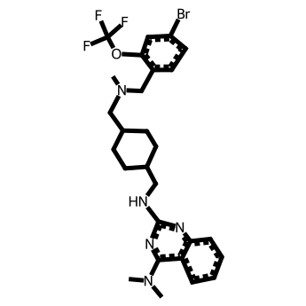 CN(Cc1ccc(Br)cc1OC(F)(F)F)CC1CCC(CNc2nc(N(C)C)c3ccccc3n2)CC1